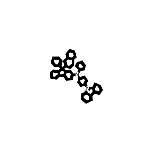 c1ccc(N(c2ccc(-n3c4ccccc4c4ccccc43)cc2)c2ccc3c(c2)C(c2ccccc2)(c2ccc4ccccc4c2)c2ccccc2-3)cc1